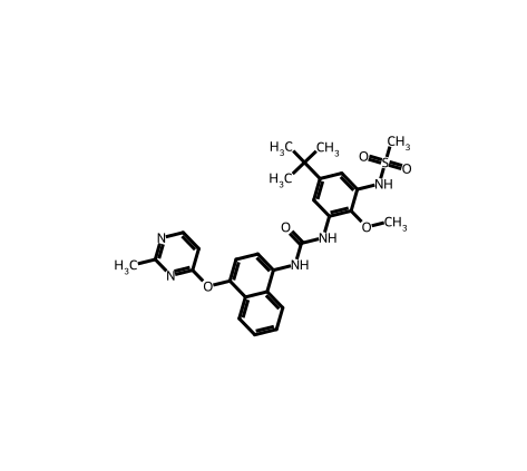 COc1c(NC(=O)Nc2ccc(Oc3ccnc(C)n3)c3ccccc23)cc(C(C)(C)C)cc1NS(C)(=O)=O